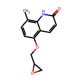 Cc1ccc(OCC2CO2)c2ccc(=O)[nH]c12